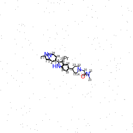 Cc1cc2cc(-c3[nH]c4ccc(C5CCN(CC(=O)N(C)C)CC5)cc4c3C(C)C)ccn2n1